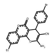 CCc1ccc2oc(=O)c3c(c2c1)OC(N)=C(C#N)C3c1ccc(Br)cc1